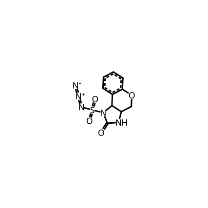 [N-]=[N+]=NS(=O)(=O)N1C(=O)NC2COc3ccccc3C21